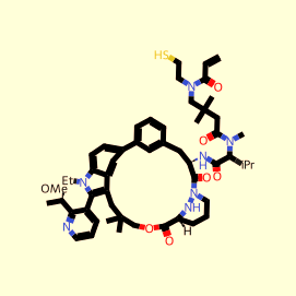 C=CC(=O)N(CCS)CC(C)(C)CC(=O)N(C)C(C(=O)N[C@H]1Cc2cccc(c2)-c2ccc3c(c2)c(c(-c2cccnc2[C@H](C)OC)n3CC)CC(C)(C)COC(=O)[C@@H]2CCCN(N2)C1=O)C(C)C